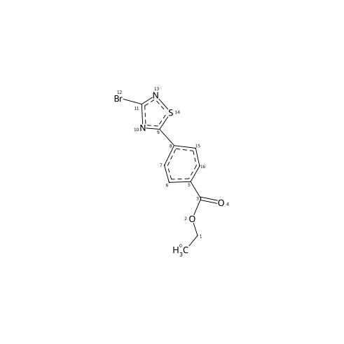 CCOC(=O)c1ccc(-c2nc(Br)ns2)cc1